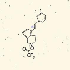 Cc1cccc(/C=C/c2cccc3c2CCN(OC(=O)C(F)(F)F)C3)c1